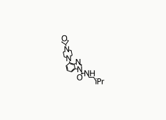 CC(C)CCNC(=O)n1cnc2c(N3CCN(C4COC4)CC3)cccc21